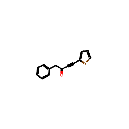 O=C(C#Cc1cccs1)Cc1ccccc1